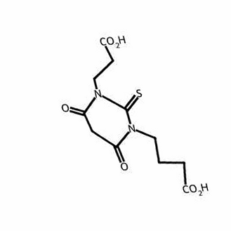 O=C(O)CCCN1C(=O)CC(=O)N(CCC(=O)O)C1=S